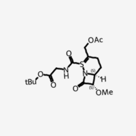 CO[C@@H]1C(=O)N2[C@H]1CCC(COC(C)=O)=S2C(=O)NCC(=O)OC(C)(C)C